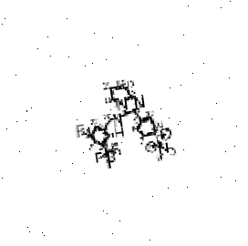 CN(C)S(=O)(=O)c1ccc(-c2nc3ccccn3c2NCc2cc(F)cc(C(F)(F)F)c2)cc1